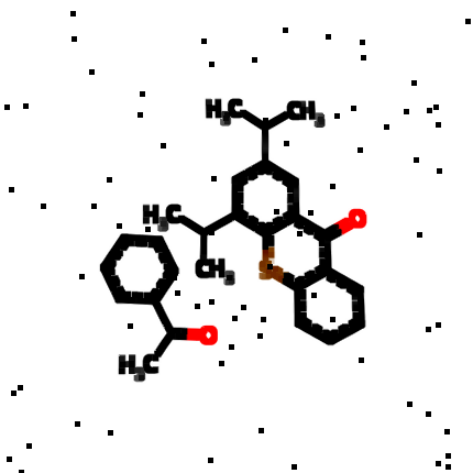 CC(=O)c1ccccc1.CC(C)c1cc(C(C)C)c2sc3ccccc3c(=O)c2c1